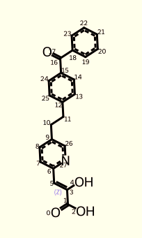 O=C(O)/C(O)=C/c1ccc(CCc2ccc(C(=O)c3ccccc3)cc2)cn1